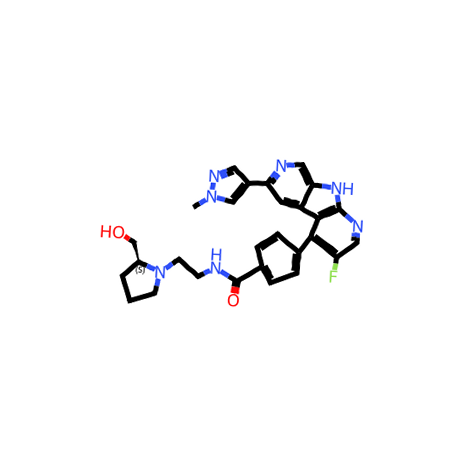 Cn1cc(-c2cc3c(cn2)[nH]c2ncc(F)c(-c4ccc(C(=O)NCCN5CCC[C@H]5CO)cc4)c23)cn1